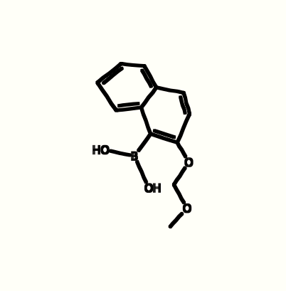 COCOc1ccc2ccccc2c1B(O)O